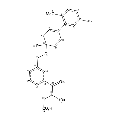 COc1ccc(F)cc1C1=CCC(F)(OCc2cccc(C(=O)N(CC(=O)O)C(C)(C)C)c2)C=C1